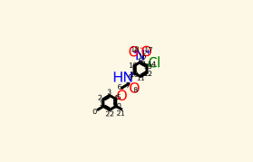 Cc1ccc(OCC(=O)Nc2ccc(Cl)c([N+](=O)[O-])c2)c(C)c1